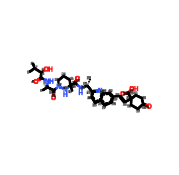 CC(NC(=O)C(O)C(C)C)C(=O)N1CCCC(C)(C(=O)N[C@H](C)c2ccc3ccc(/C=C/C4(C(=O)O)CCC(=O)CC4)cc3n2)N1